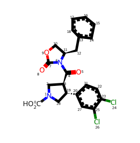 O=C(O)N1C[C@@H](C(=O)N2C(=O)OC[C@H]2Cc2ccccc2)[C@H](c2ccc(Cl)c(Cl)c2)C1